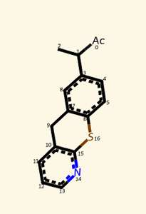 CC(=O)C(C)c1ccc2c(c1)Cc1cccnc1S2